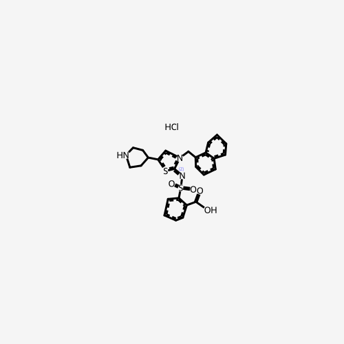 Cl.O=C(O)c1ccccc1S(=O)(=O)/N=c1\sc(C2CCNCC2)cn1Cc1cccc2ccccc12